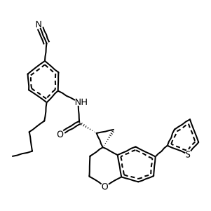 CCCCc1ccc(C#N)cc1NC(=O)[C@@H]1C[C@]12CCOc1ccc(-c3cccs3)cc12